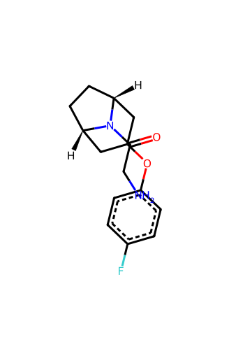 NCC(=O)N1[C@@H]2CC[C@H]1CC(Oc1ccc(F)cc1)C2